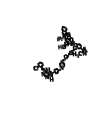 Cc1ncsc1-c1ccc(CNC(=O)[C@@H]2C[C@@H](O)CN2C(=O)[C@H](C(C)C)N2Cc3ccccc3C2=O)c(OCCOCCOCCN2CCN(Cc3ccc(-c4cc5c(NCc6ccccc6Cl)ncnc5[nH]4)cc3)CC2)c1